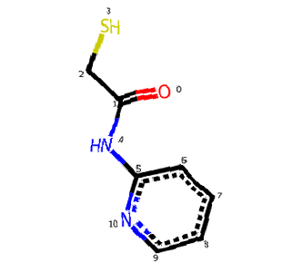 O=C(CS)Nc1ccccn1